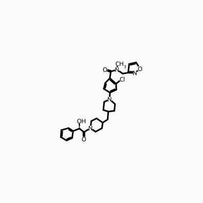 CN(Cc1ccon1)C(=O)c1ccc(N2CCC(CC3CCN(C(=O)[C@H](O)c4ccccc4)CC3)CC2)cc1Cl